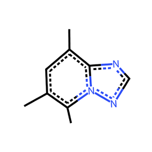 Cc1cc(C)c2ncnn2c1C